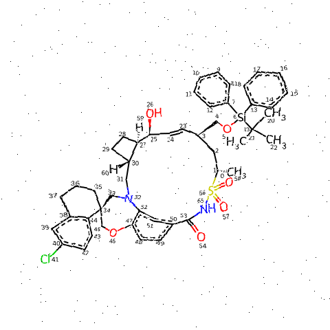 C[C@H]1C[C@H](CO[Si](c2ccccc2)(c2ccccc2)C(C)(C)C)/C=C/[C@H](O)[C@@H]2CC[C@H]2CN2C[C@@]3(CCCc4cc(Cl)ccc43)COc3ccc(cc32)C(=O)NS1(=O)=O